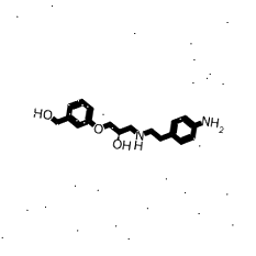 Nc1ccc(CCNC[C@H](O)COc2cccc(CO)c2)cc1